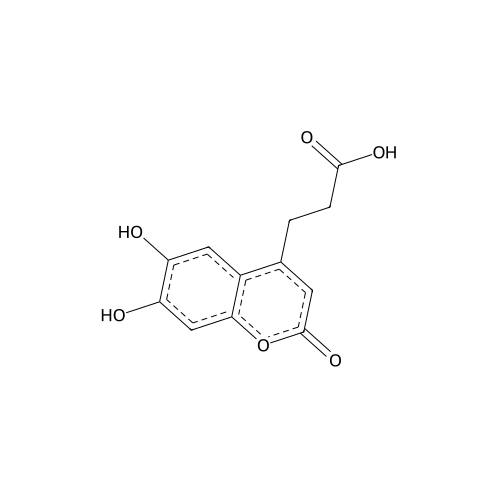 O=C(O)CCc1cc(=O)oc2cc(O)c(O)cc12